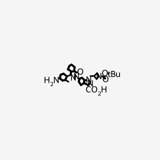 Cc1cc(N)ccc1-c1nn(-c2ccc3c(C(=O)O)nn(CC4CN(C(=O)OC(C)(C)C)C4)c3c2)c(=O)c2ccccc12